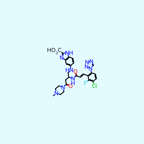 CN1CCN(C(=O)CC(CNc2ccc3[nH]c(C(=O)O)nc3c2)NC(=O)C=Cc2c(-n3cnnn3)ccc(Cl)c2F)CC1